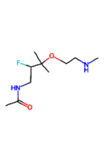 CNCCOC(C)(C)C(F)CNC(C)=O